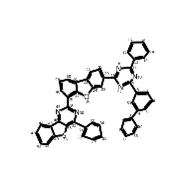 c1ccc(-c2cccc(-c3nc(-c4ccccc4)nc(-c4ccc5c(c4)oc4c(-c6nc(-c7ccccc7)c7sc8ccccc8c7n6)cccc45)n3)c2)cc1